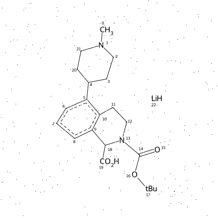 CN1CCC(c2cccc3c2CCN(C(=O)OC(C)(C)C)C3C(=O)O)CC1.[LiH]